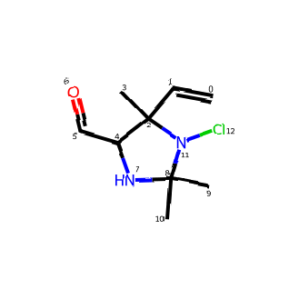 C=CC1(C)C(C=O)NC(C)(C)N1Cl